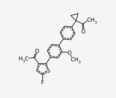 COc1cc(-c2sc(F)cc2C(C)=O)ccc1-c1ccc(C2(C(C)=O)CC2)cc1